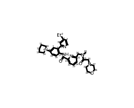 CCc1ccnc(-c2cc(N3CCCCC3)ccc2NC(=O)c2cccc(CN(C)C(=O)CN3CCOCC3)n2)c1